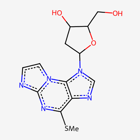 CSc1nc2nccn2c2c1ncn2C1CC(O)C(CO)O1